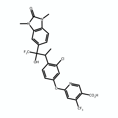 CC(c1ccc(Oc2cc(C(F)(F)F)c(C(=O)O)cn2)cc1Cl)C(O)(c1ccc2c(c1)n(C)c(=O)n2C)C(F)(F)F